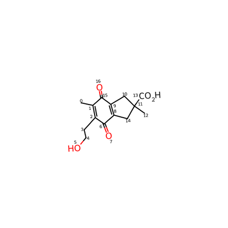 CC1=C(CCO)C(=O)C2=C(CC(C)(C(=O)O)C2)C1=O